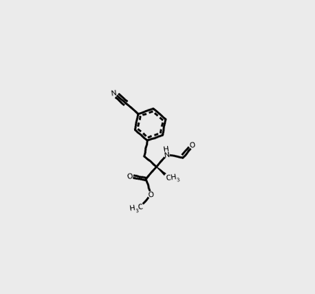 COC(=O)[C@](C)(Cc1cccc(C#N)c1)NC=O